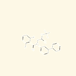 CC(C)(C)OC(=O)CN(C(=O)c1c(F)cccc1F)c1cccc(-c2ccccc2)c1